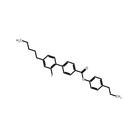 CCCCCc1ccc(-c2ccc(C(=O)Oc3ccc(CCC)cc3)cc2)c(F)c1